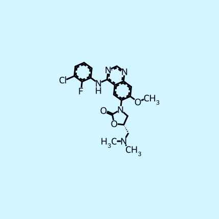 COc1cc2ncnc(Nc3cccc(Cl)c3F)c2cc1N1C[C@H](CN(C)C)OC1=O